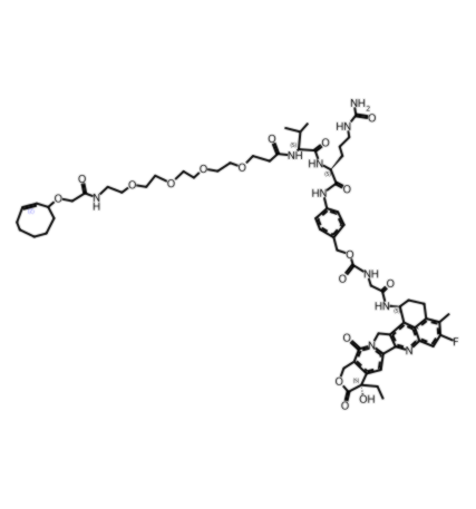 CC[C@@]1(O)C(=O)OCc2c1cc1n(c2=O)Cc2c-1nc1cc(F)c(C)c3c1c2[C@@H](NC(=O)CNC(=O)OCc1ccc(NC(=O)[C@H](CCCNC(N)=O)NC(=O)[C@@H](NC(=O)CCOCCOCCOCCOCCNC(=O)COC2/C=C\CCCCC2)C(C)C)cc1)CC3